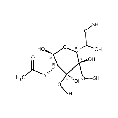 CC(=O)N[C@@H]1[C@@H](O)O[C@H](C(O)OS)[C@](O)(OS)[C@@]1(O)OS